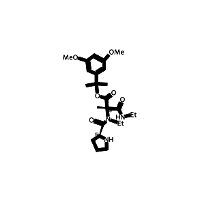 CCNC(=O)[C@@](C)(C(=O)OC(C)(C)c1cc(OC)cc(OC)c1)N(CC)C(=O)[C@@H]1CCCN1